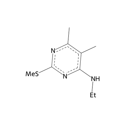 CCNc1nc(SC)nc(C)c1C